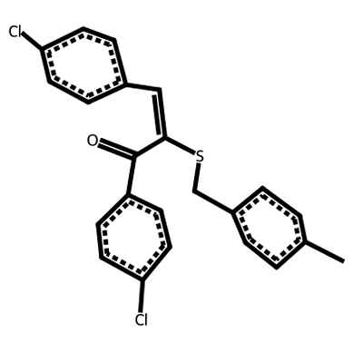 Cc1ccc(CSC(=Cc2ccc(Cl)cc2)C(=O)c2ccc(Cl)cc2)cc1